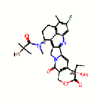 CC[C@@]1(O)C(=O)OCc2c1cc1n(c2=O)Cc2c-1nc1cc(F)c(C)c3c1c2[C@@H](N(C)C(=O)C(C)(C)S)CC3